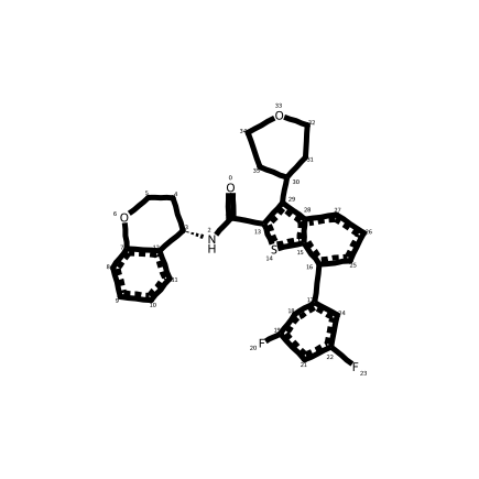 O=C(N[C@H]1CCOc2ccccc21)c1sc2c(-c3cc(F)cc(F)c3)cccc2c1C1CCOCC1